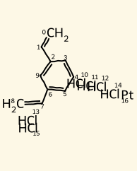 C=Cc1cccc(C=C)c1.Cl.Cl.Cl.Cl.Cl.Cl.[Pt]